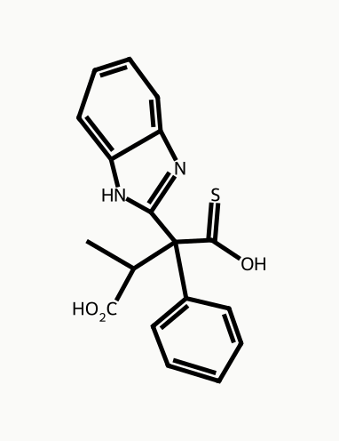 CC(C(=O)O)C(C(O)=S)(c1ccccc1)c1nc2ccccc2[nH]1